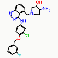 NC1CCN(Cc2cccc3ncnc(Nc4ccc(OCc5cccc(F)c5)c(Cl)c4)c23)CC1O